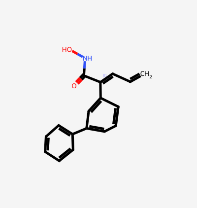 C=C/C=C(/C(=O)NO)c1cccc(-c2ccccc2)c1